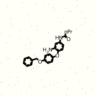 CCCC(=O)Nc1ccc(Oc2ccc(OCc3ccccc3)cc2)c(N)c1